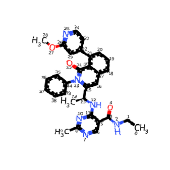 CCNC(=O)c1cnc(C)nc1N[C@@H](C)c1cc2cccc(-c3ccnc(OC)c3)c2c(=O)n1-c1ccccc1